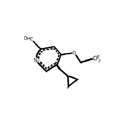 O=Cc1cc(OCC(F)(F)F)c(C2CC2)cn1